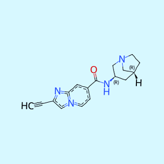 C#Cc1cn2ccc(C(=O)N[C@@H]3C[C@H]4CCN(C4)C3)cc2n1